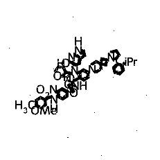 COC1(C)CCC(CNc2ccc(S(=O)(=O)NC(=O)c3ccc(N4CCC5(CC4)CC(N4CCC[C@H]4c4ccccc4C(C)C)C5)cc3N3C[C@H]4COCC[C@H]4Oc4nc5[nH]ccc5cc43)cc2[N+](=O)[O-])CC1